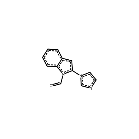 O=Cn1c(-n2ccnc2)cc2ccccc21